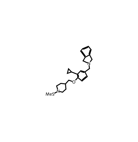 CSN1CCC(COc2ccc(CN3Cc4ccccc4C3)cc2C2CC2)CC1